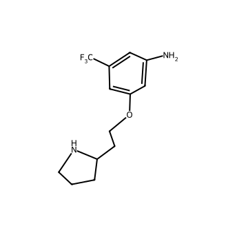 Nc1cc(OCCC2CCCN2)cc(C(F)(F)F)c1